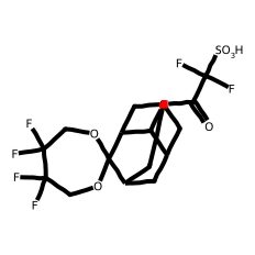 O=C(OC1C2CC3CC(C2)C2(OCC(F)(F)C(F)(F)CO2)C1C3)C(F)(F)S(=O)(=O)O